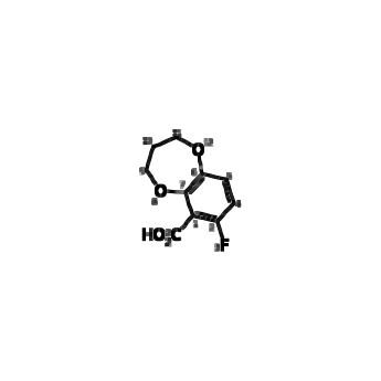 O=C(O)c1c(F)ccc2c1OCCCO2